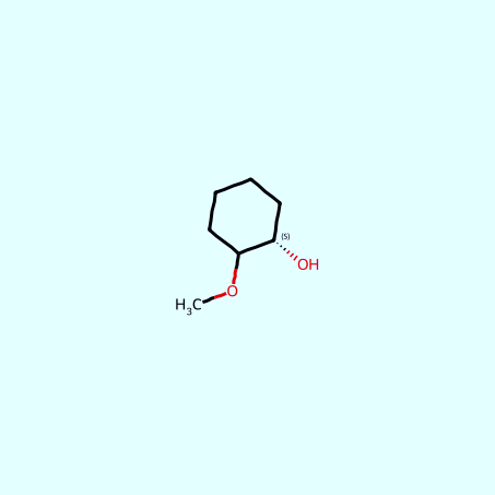 COC1CCCC[C@@H]1O